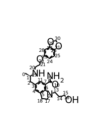 C[C@H](Cc1cc2c(c(C(N)=O)c1)N(CCCO)CC2)NCCOc1ccc2c(c1)OCO2